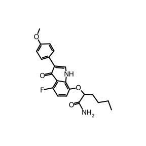 CCCCC(Oc1ccc(F)c2c(=O)c(-c3ccc(OC)cc3)c[nH]c12)C(N)=O